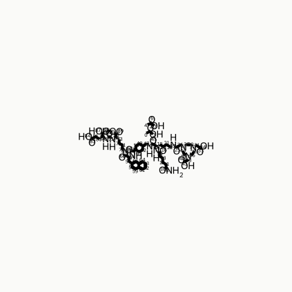 CC(=O)O.CC(=O)O.NC(=O)CCCCC(=O)N[C@@H](CCCCNC(=O)CN1CCN(CC(=O)O)CCN(CC(=O)O)CC1)C(=O)NCC1CCC(C(=O)NC(Cc2ccc3ccccc3c2)C(=O)NCCCC[C@H](NC(=O)N[C@@H](CCC(=O)O)C(=O)O)C(=O)O)CC1